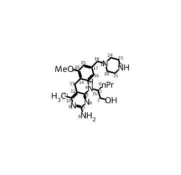 CCC[C@@H](CO)Nc1nc(N)nc(C)c1Cc1ccc(CN2CCNCC2)cc1OC